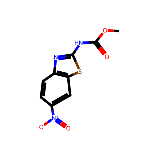 COC(=O)Nc1nc2ccc([N+](=O)[O-])cc2s1